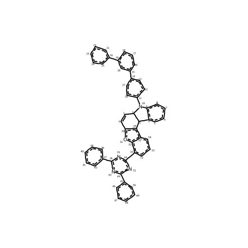 C1=CC2C(c3ccccc3N2c2ccc(-c3cccc(-c4ccccc4)c3)cc2)c2c1oc1c(-c3nc(-c4ccccc4)nc(-c4ccccc4)n3)cccc21